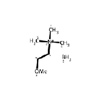 B.COCC[N+](C)(C)C